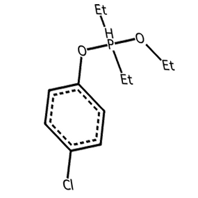 CCO[PH](CC)(CC)Oc1ccc(Cl)cc1